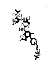 Cc1cc(Nc2ncc(Cl)c(Nc3cn(C)nc3S(=O)(=O)C(C)C)n2)c2c(c1C1CCN(CCO[Si](C)(C)C(C)(C)C)CC1)C[C@@H](C)O2